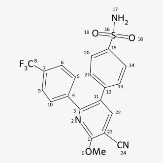 COc1nc(-c2ccc(C(F)(F)F)cc2)c(-c2ccc(S(N)(=O)=O)cc2)cc1C#N